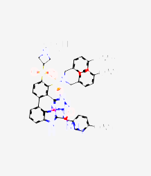 COc1ccc(CN(Cc2ccc(OC)cc2)S(=O)(=O)c2c(S(=O)(=O)C3CN(C(=O)O)C3)ccc(-c3cccc4[nH]c(C(N)=O)nc34)c2-c2nnn(Cc3ccc(OC)cc3)n2)cc1